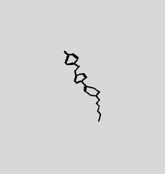 CCCCCCC1CCC(c2ccc(CCc3ccc(C)cc3)cc2)CC1